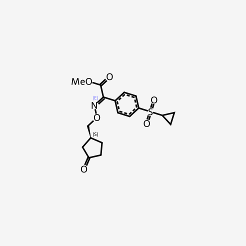 COC(=O)/C(=N/OC[C@H]1CCC(=O)C1)c1ccc(S(=O)(=O)C2CC2)cc1